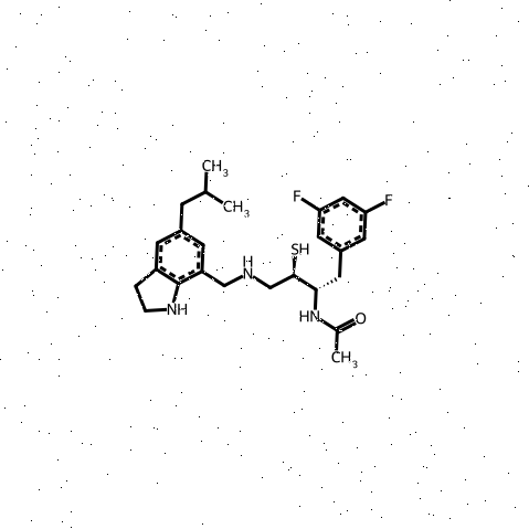 CC(=O)N[C@@H](Cc1cc(F)cc(F)c1)[C@H](S)CNCc1cc(CC(C)C)cc2c1NCC2